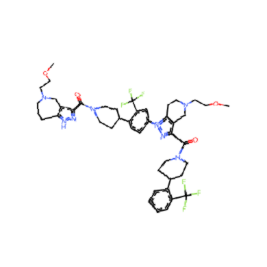 COCCN1CCCc2[nH]nc(C(=O)N3CCC(c4ccc(-n5nc(C(=O)N6CCC(c7ccccc7C(F)(F)F)CC6)c6c5CCN(CCOC)C6)cc4C(F)(F)F)CC3)c2C1